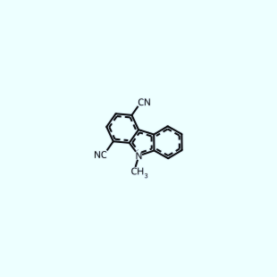 Cn1c2ccccc2c2c(C#N)ccc(C#N)c21